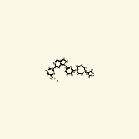 Cc1cncc(-c2cc3c(cn2)cnn3-c2cccc(N3CCCN(C4COC4)CC3)n2)n1